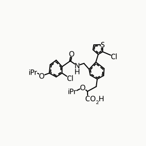 CC(C)Oc1ccc(C(=O)NCc2cc(CC(OC(C)C)C(=O)O)ccc2-c2ccsc2Cl)c(Cl)c1